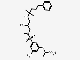 C[C@@H](Sc1cc(C(F)(F)F)cc(S(=O)(=O)N(C)CC(O)CNC(C)(C)CCCc2ccccc2)c1)C(=O)O